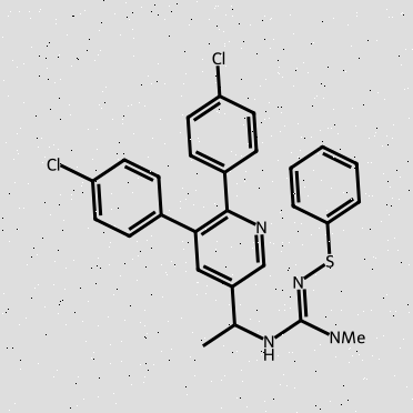 CN/C(=N\Sc1ccccc1)NC(C)c1cnc(-c2ccc(Cl)cc2)c(-c2ccc(Cl)cc2)c1